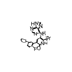 CC(C)c1[nH]c(=O)c(-c2cc(Cl)ccc2F)cc1Nc1ncnc2[nH]cnc12